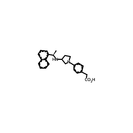 C[C@@H](NC1CCN(c2ccc(CC(=O)O)cc2)C1)c1cccc2ccccc12